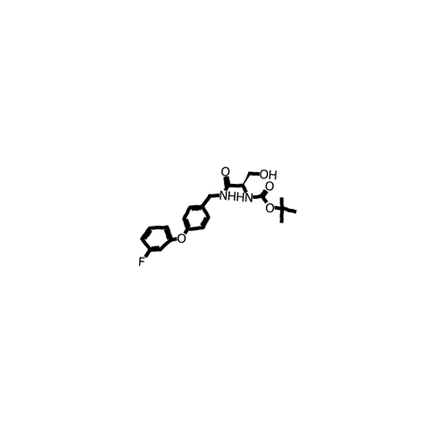 CC(C)(C)OC(=O)N[C@H](CO)C(=O)NCc1ccc(Oc2cccc(F)c2)cc1